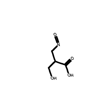 O=NCC(CO)C(=O)O